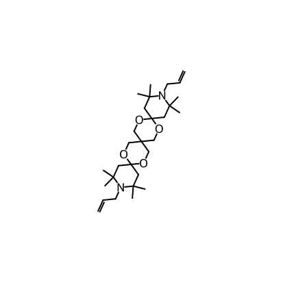 C=CCN1C(C)(C)CC2(CC1(C)C)OCC1(CO2)COC2(CC(C)(C)N(CC=C)C(C)(C)C2)OC1